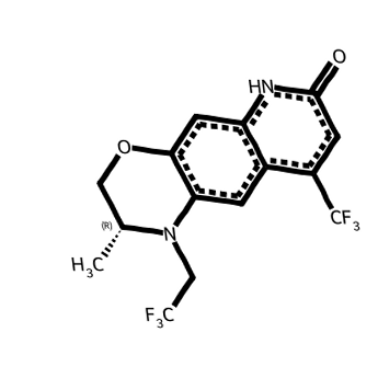 C[C@@H]1COc2cc3[nH]c(=O)cc(C(F)(F)F)c3cc2N1CC(F)(F)F